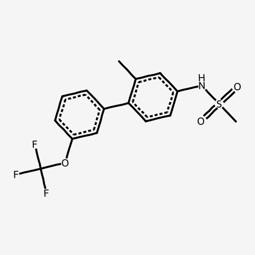 Cc1cc(NS(C)(=O)=O)ccc1-c1cccc(OC(F)(F)F)c1